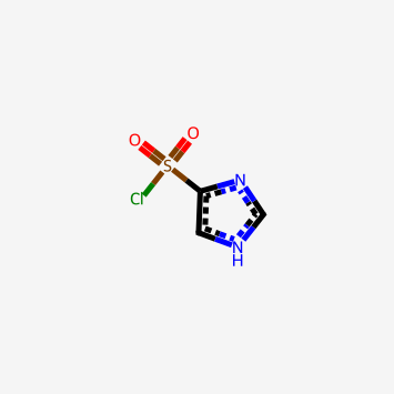 O=S(=O)(Cl)c1c[nH]cn1